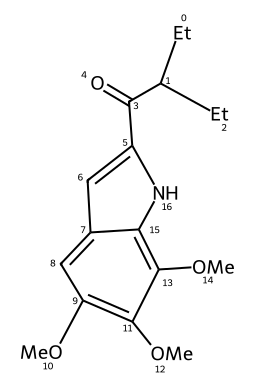 CCC(CC)C(=O)c1cc2cc(OC)c(OC)c(OC)c2[nH]1